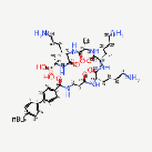 CCCCc1ccc(-c2ccc(C(=O)NCCC(=O)N[C@@H](CCCCN)C(=O)N[C@@H](CCCCN)C(=O)N[C@@H](CC)C(=O)N[C@@H](CCCCN)C(=O)N[C@@H](C)B(O)O)cc2)cc1